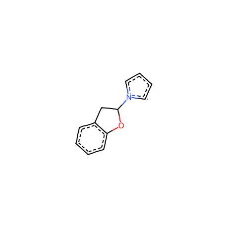 [c]1cccn1C1Cc2ccccc2O1